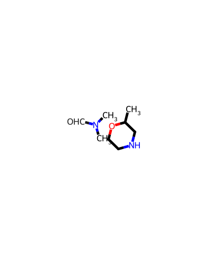 CC1CNCCO1.CN(C)C=O